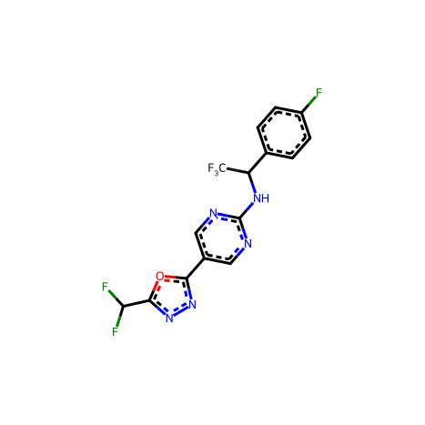 Fc1ccc(C(Nc2ncc(-c3nnc(C(F)F)o3)cn2)C(F)(F)F)cc1